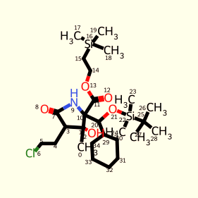 CC1(O)C(CCCl)C(=O)NC1(C(=O)OCC[Si](C)(C)C)C(O[Si](C)(C)C(C)(C)C)C1CCCCC1